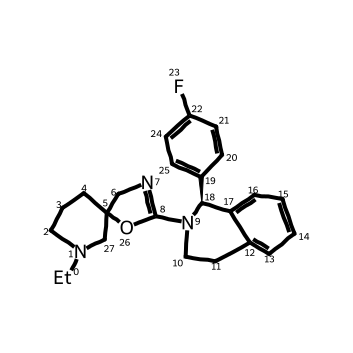 CCN1CCCC2(CN=C(N3CCc4ccccc4[C@@H]3c3ccc(F)cc3)O2)C1